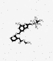 CCOC(=O)Cc1ccccc1OCc1cc(C)c2oc(CO[Si](C)(C)C(C)(C)C)cc2c1